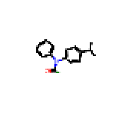 CC(C)c1ccc(N(C(=O)Cl)c2ccccc2)cc1